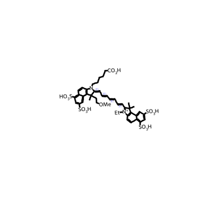 CC[N+]1=C(/C=C/C=C/C=C/C=C2/N(CCCCCC(=O)O)c3ccc4c(S(=O)(=O)O)cc(S(=O)(=O)O)cc4c3C2(C)CCOC)C(C)(C)c2c1ccc1c(S(=O)(=O)O)cc(S(=O)(=O)O)cc21